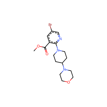 COC(=O)c1cc(Br)cnc1N1CCC(N2CCOCC2)CC1